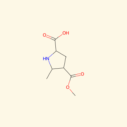 COC(=O)C1CC(C(=O)O)NC1C